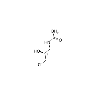 BC(=O)NC[C@H](O)CCl